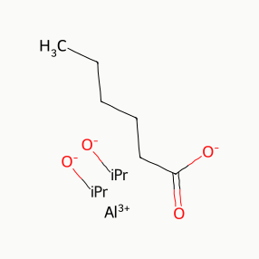 CC(C)[O-].CC(C)[O-].CCCCCC(=O)[O-].[Al+3]